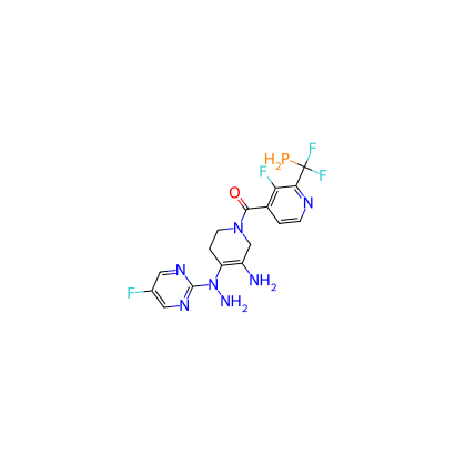 NC1=C(N(N)c2ncc(F)cn2)CCN(C(=O)c2ccnc(C(F)(F)P)c2F)C1